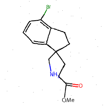 COC(=O)CCC1(CN)CCc2c(Br)cccc21